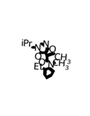 CCc1ccccc1N(C)C(=O)c1c(C)oc2ncn(CC(C)C)c(=O)c12